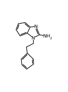 Nc1nc2ccccc2n1CCc1ccccc1